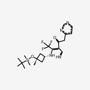 CC(C)(C)[Si](C)(C)O[C@]1(C)C[C@H](N/C(=C(\C=N)C(=O)Cc2ccncn2)C(F)(F)F)C1